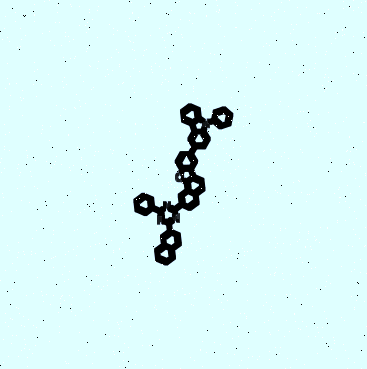 c1ccc(-c2nc(-c3ccc4ccccc4c3)nc(-c3ccc4ccc5c6cc(-c7ccc8c(c7)c7ccccc7n8-c7ccccc7)ccc6oc5c4c3)n2)cc1